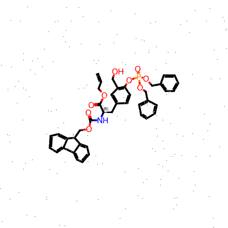 C=CCOC(=O)[C@@H](Cc1ccc(OP(=O)(OCc2ccccc2)OCc2ccccc2)c(CO)c1)NC(=O)OCC1c2ccccc2-c2ccccc21